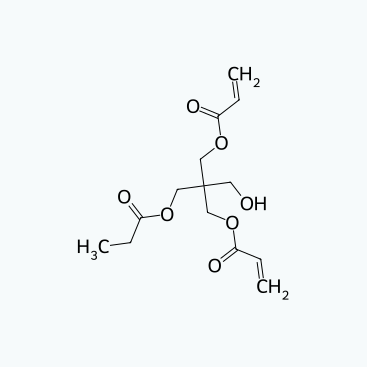 C=CC(=O)OCC(CO)(COC(=O)C=C)COC(=O)CC